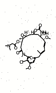 COc1cc2cc(c1Cl)N(C)C(=O)C[C@H](OC(=O)CN(C)C)[C@]1(C)O[C@H]1[C@H](C)[C@@H]1C[C@@](O)(NC(=O)O1)[C@H](OC)/C=C/C=C(\C)C2